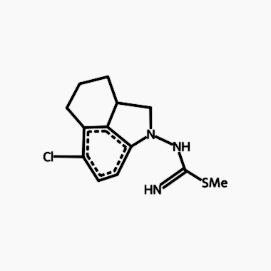 CSC(=N)NN1CC2CCCc3c(Cl)ccc1c32